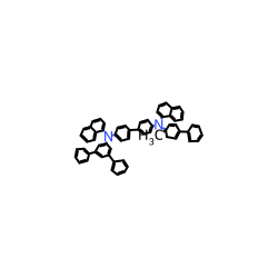 CC1(N(c2ccc(-c3ccc(N(c4cc(-c5ccccc5)cc(-c5ccccc5)c4)c4cccc5ccccc45)cc3)cc2)c2cccc3ccccc23)C=CC(c2ccccc2)=CC1